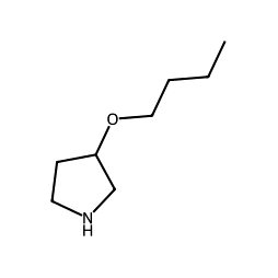 CCCCOC1CCNC1